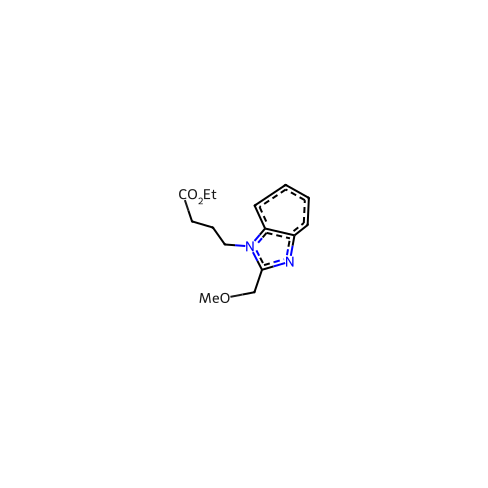 CCOC(=O)CCCn1c(COC)nc2ccccc21